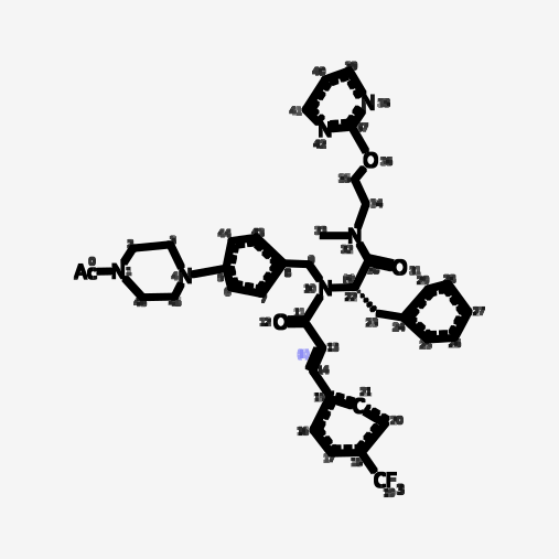 CC(=O)N1CCN(c2ccc(CN(C(=O)/C=C/c3ccc(C(F)(F)F)cc3)[C@@H](Cc3ccccc3)C(=O)N(C)CCOc3ncccn3)cc2)CC1